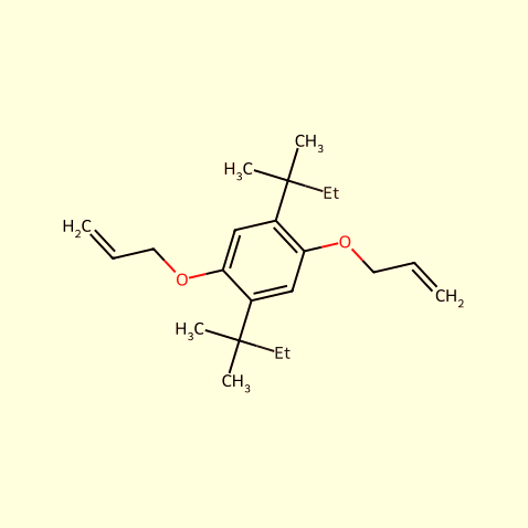 C=CCOc1cc(C(C)(C)CC)c(OCC=C)cc1C(C)(C)CC